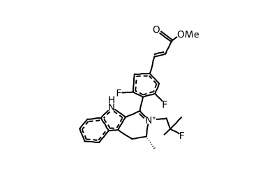 COC(=O)/C=C/c1cc(F)c(C2=[N+](CC(C)(C)F)[C@H](C)Cc3c2[nH]c2ccccc32)c(F)c1